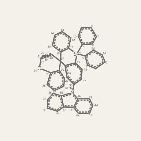 c1ccc([Si]2(c3ccccc3)c3ccccc3C3(c4ccccc4Oc4ccccc43)c3cc(-n4c5ccccc5c5ccccc54)ccc32)cc1